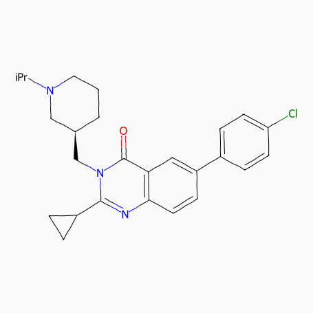 CC(C)N1CCC[C@@H](Cn2c(C3CC3)nc3ccc(-c4ccc(Cl)cc4)cc3c2=O)C1